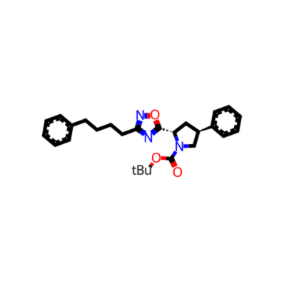 CC(C)(C)OC(=O)N1C[C@H](c2ccccc2)C[C@H]1c1nc(CCCCc2ccccc2)no1